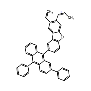 C=Cc1cc2c(cc1/C=C\C)oc1ccc(-c3c4ccccc4c(-c4ccccc4)c4ccc(-c5ccccc5)cc34)cc12